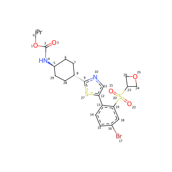 CC(C)OC(=O)N[C@H]1CC[C@H](c2ncc(-c3ccc(Br)cc3S(=O)(=O)C3COC3)s2)CC1